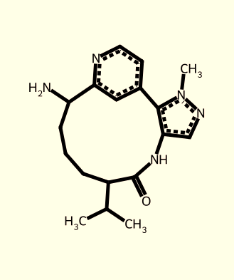 CC(C)C1CCCC(N)c2cc(ccn2)-c2c(cnn2C)NC1=O